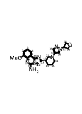 COc1cccc2c1nc(N)n1nc([C@@H]3CCCN(c4cnn(C5COC5)c4)C3)nc21